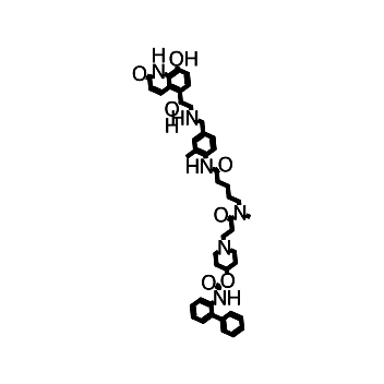 Cc1cc(CNC[C@@H](O)c2ccc(O)c3[nH]c(=O)ccc23)ccc1NC(=O)CCCCN(C)C(=O)CCN1CCC(OC(=O)Nc2ccccc2-c2ccccc2)CC1